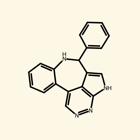 c1ccc(C2Nc3ccccc3-c3cnnc4[nH]cc2c34)cc1